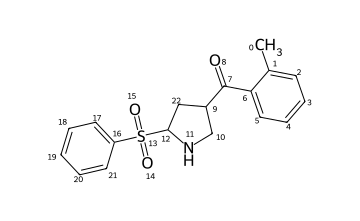 Cc1ccccc1C(=O)C1CNC(S(=O)(=O)c2ccccc2)C1